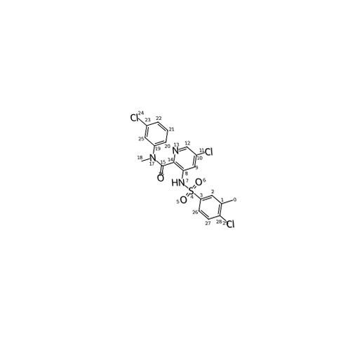 Cc1cc(S(=O)(=O)Nc2cc(Cl)cnc2C(=O)N(C)c2cccc(Cl)c2)ccc1Cl